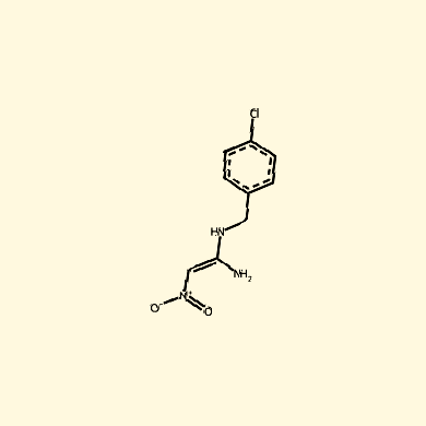 NC(=C[N+](=O)[O-])NCc1ccc(Cl)cc1